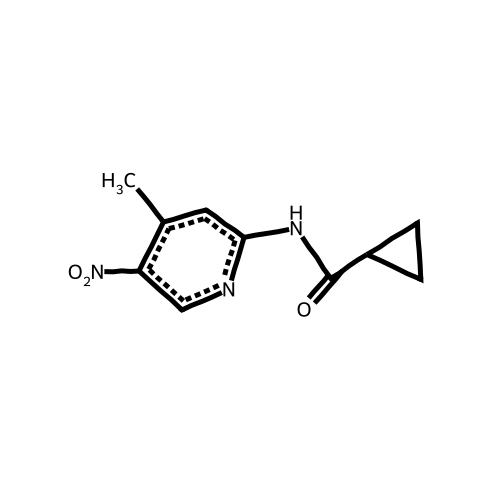 Cc1cc(NC(=O)C2CC2)ncc1[N+](=O)[O-]